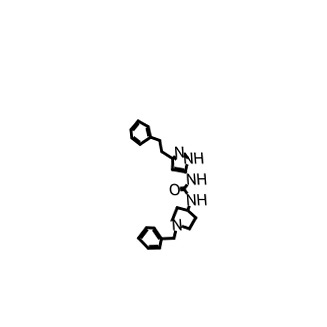 O=C(Nc1cc(CCc2ccccc2)n[nH]1)NC1CCN(Cc2ccccc2)CC1